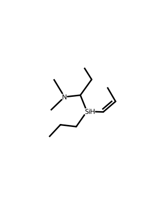 C/C=C\[SiH](CCC)C(CC)N(C)C